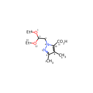 CCOC(Cn1nc(C)c(C)c1C(=O)O)OCC